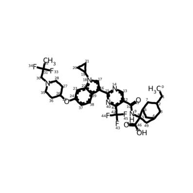 CCC1CC2CC(C1)C(NC(=O)c1cnc(-c3cn(C4CC4)c4cc(OC5CCN(CC(C)(F)F)CC5)ccc34)nc1C(F)(F)F)(C(=O)O)C2